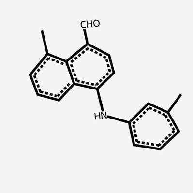 Cc1cccc(Nc2ccc(C=O)c3c(C)cccc23)c1